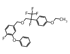 CCOc1ccc(C(F)(COCc2ccc(F)c(Oc3ccccc3)c2)C(F)(F)F)cc1